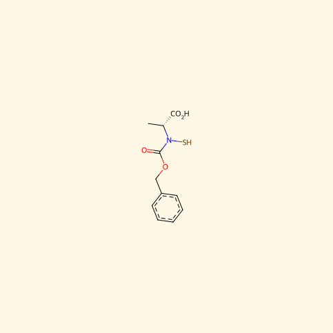 C[C@H](C(=O)O)N(S)C(=O)OCc1ccccc1